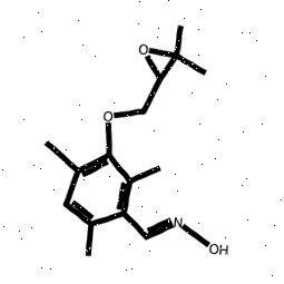 Cc1cc(C)c(OCC2OC2(C)C)c(C)c1C=NO